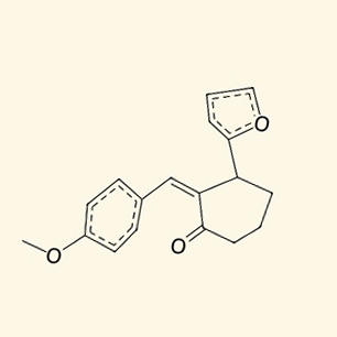 COc1ccc(C=C2C(=O)CCCC2c2ccco2)cc1